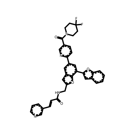 O=C(C=Cc1cccnc1)NCc1cc2cc(-c3ccc(C(=O)N4CCC(F)(F)CC4)cn3)cc(-c3cc4ccccc4o3)c2o1